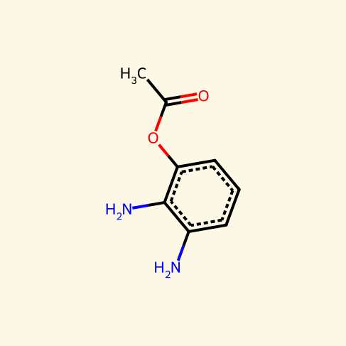 CC(=O)Oc1cccc(N)c1N